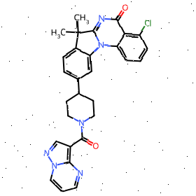 CC1(C)c2ccc(C3CCN(C(=O)c4cnn5cccnc45)CC3)cc2-n2c1nc(=O)c1c(Cl)cccc12